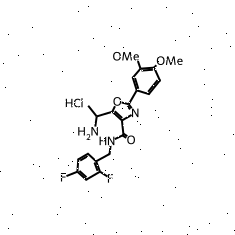 COc1ccc(-c2nc(C(=O)NCc3ccc(F)cc3F)c(C(C)N)o2)cc1OC.Cl